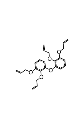 C=CCOc1cccc(Oc2cccc(OCC=C)c2OCC=C)c1OCC=C